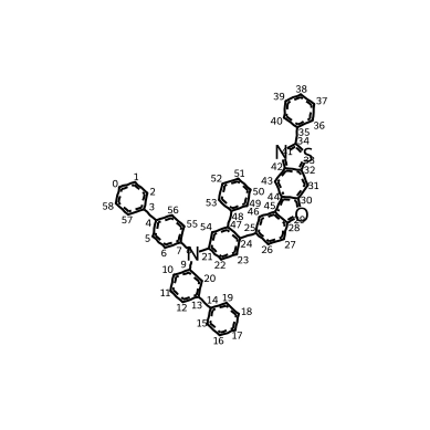 c1ccc(-c2ccc(N(c3cccc(-c4ccccc4)c3)c3ccc(-c4ccc5oc6cc7sc(-c8ccccc8)nc7cc6c5c4)c(-c4ccccc4)c3)cc2)cc1